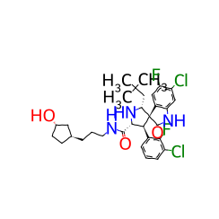 CC(C)(C)C[C@H]1N[C@@H](C(=O)NCCC[C@H]2CC[C@H](O)C2)[C@H](c2cccc(Cl)c2F)[C@@]12C(=O)Nc1cc(Cl)c(F)cc12